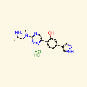 C[C@H](N)CN(C)c1ncc(-c2ccc(-c3cn[nH]c3)cc2O)nn1.Cl.Cl